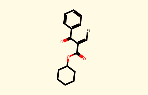 CCC=C(C(=O)OC1CCCCC1)C(=O)c1ccccc1